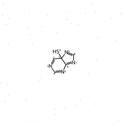 SC12C=NC=NC1=NC=N2